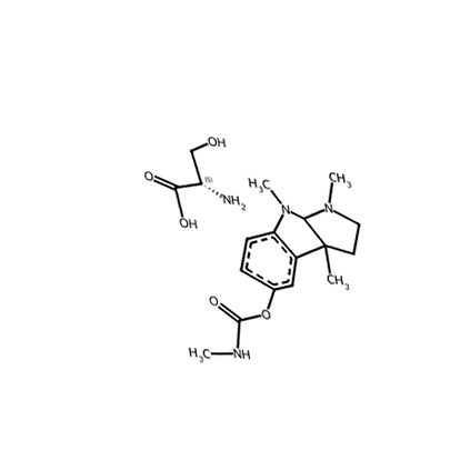 CNC(=O)Oc1ccc2c(c1)C1(C)CCN(C)C1N2C.N[C@@H](CO)C(=O)O